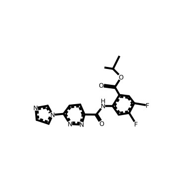 CC(C)OC(=O)c1cc(F)c(F)cc1NC(=O)c1ccc(-n2ccnc2)nn1